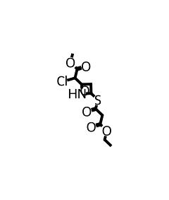 CCOC(=O)CC(=O)SC12CC(C(Cl)C(=O)OC)(N1)O2